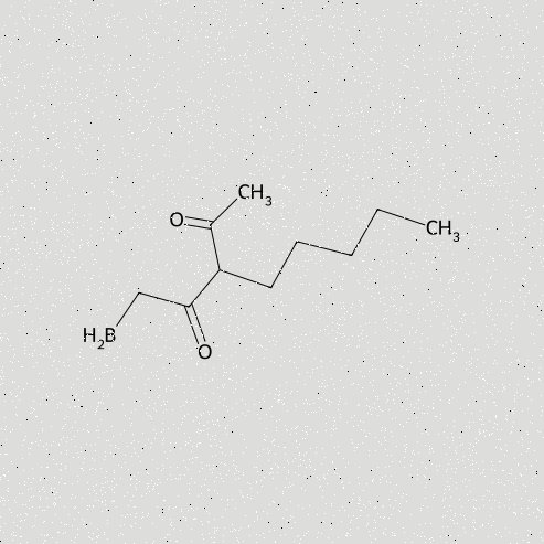 BCC(=O)C(CCCCC)C(C)=O